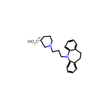 O=C(O)[C@@H]1CCCN(CCCN2c3ccccc3CCc3ccccc32)C1